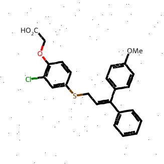 COc1ccc(/C(=C\CSc2ccc(OCC(=O)O)c(Cl)c2)c2ccccc2)cc1